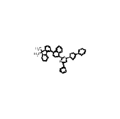 CC1(C)c2ccccc2-c2c(-c3ccc(-c4nc(-c5ccccc5)cc(-c5ccc(-c6ccccc6)cc5)n4)c4ccccc34)cccc21